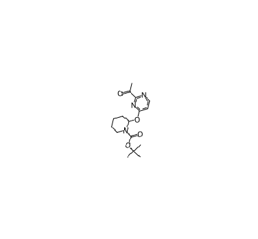 CC(=O)c1nccc(OC2CCCCN2C(=O)OC(C)(C)C)n1